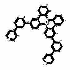 c1cc(-c2ccncc2)cc(-c2ccc3c(c2)-c2ccccc2B2c4ccccc4-c4cc(-c5cccc(-c6ccncc6)c5)ccc4N23)c1